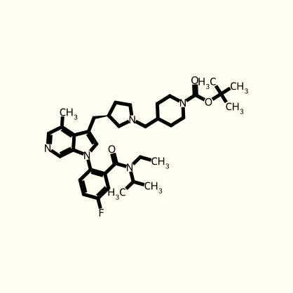 CCN(C(=O)c1cc(F)ccc1-n1cc(C[C@H]2CCN(CC3CCN(C(=O)OC(C)(C)C)CC3)C2)c2c(C)cncc21)C(C)C